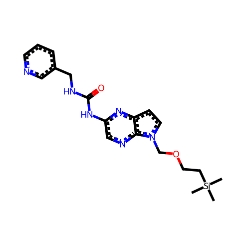 C[Si](C)(C)CCOCn1ccc2nc(NC(=O)NCc3cccnc3)cnc21